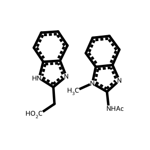 CC(=O)Nc1nc2ccccc2n1C.O=C(O)Cc1nc2ccccc2[nH]1